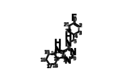 FC1=CCC(CNc2ncnc3c2NC2CCCCC32)C=C1